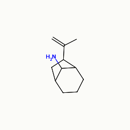 C=C(C)C1CC2CCCC1C2N